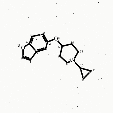 [c]1cc2cc(OC3CCN(C4CC4)CC3)ccc2o1